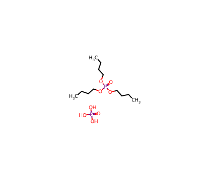 CCCCOP(=O)(OCCCC)OCCCC.O=P(O)(O)O